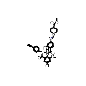 C#Cc1ccc(NC(=O)c2cc(Cl)cc(OC)c2NC(=O)c2ccc(/N=C/N3CCC(C(=O)OC)CC3)cc2F)cc1